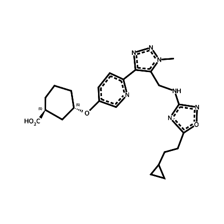 Cn1nnc(-c2ccc(O[C@H]3CCC[C@H](C(=O)O)C3)cn2)c1CNc1noc(CCC2CC2)n1